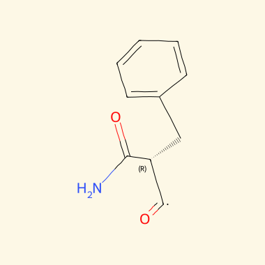 NC(=O)[C@@H]([C]=O)Cc1ccccc1